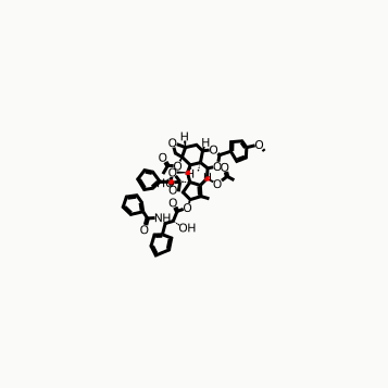 COc1ccc(C2O[C@H]3C[C@H]4OC[C@@]4(OC(C)=O)[C@H]4[C@H](OC(=O)c5ccccc5)[C@]5(C(C)(C)O)C[C@H](OC(=O)[C@H](O)[C@@H](NC(=O)c6ccccc6)c6ccccc6)C(C)=C5[C@H](OC(C)=O)[C@H](O2)[C@]34C)cc1